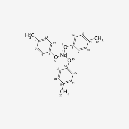 Cc1ccc([O][Nd]([O]c2ccc(C)cc2)[O]c2ccc(C)cc2)cc1